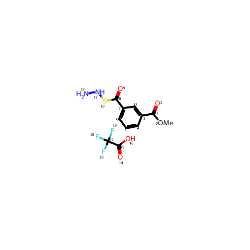 COC(=O)c1cccc(C(=O)SNN)c1.O=C(O)C(F)(F)F